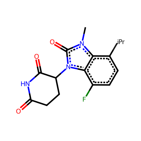 CC(C)c1ccc(F)c2c1n(C)c(=O)n2C1CCC(=O)NC1=O